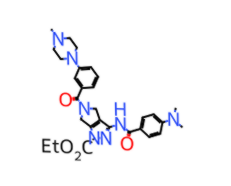 CCOC(=O)n1nc(NC(=O)c2ccc(N(C)C)cc2)c2c1CN(C(=O)c1cccc(N3CCN(C)CC3)c1)C2